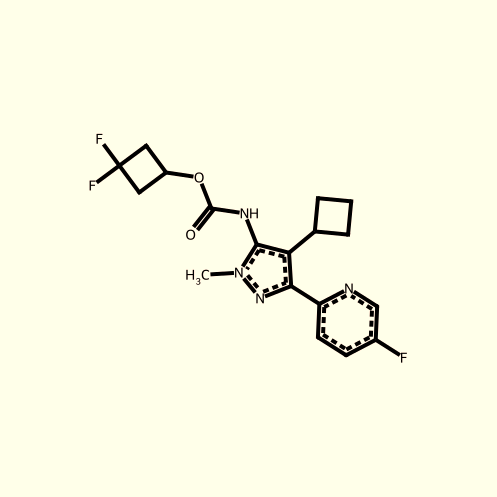 Cn1nc(-c2ccc(F)cn2)c(C2CCC2)c1NC(=O)OC1CC(F)(F)C1